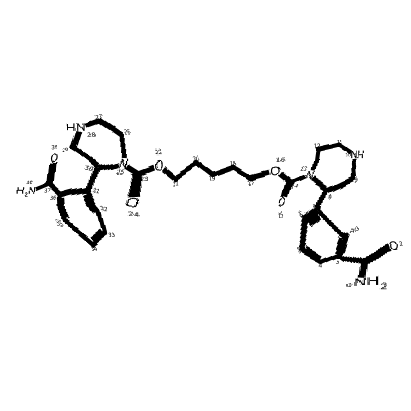 NC(=O)c1cccc(C2CNCCN2C(=O)OCCCCCOC(=O)N2CCNCC2c2ccccc2C(N)=O)c1